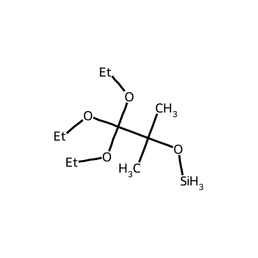 CCOC(OCC)(OCC)C(C)(C)O[SiH3]